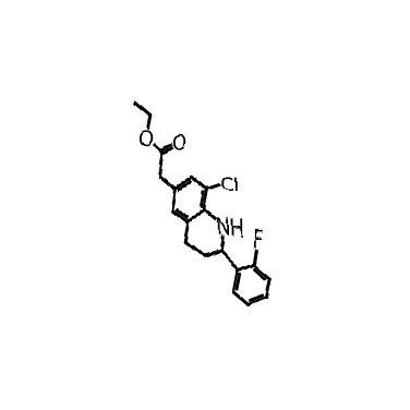 CCOC(=O)Cc1cc(Cl)c2c(c1)CCC(c1ccccc1F)N2